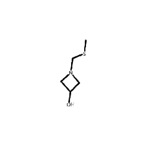 CSCN1CC(O)C1